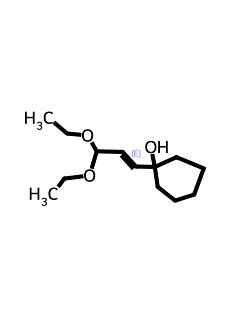 CCOC(/C=C/C1(O)CCCCC1)OCC